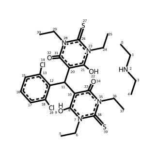 CCNCC.CCn1c(O)c(C(c2c(Cl)cccc2Cl)c2c(O)n(CC)c(=S)n(CC)c2=O)c(=O)n(CC)c1=S